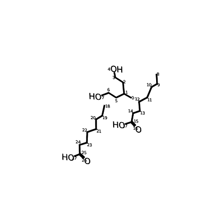 CC(CCO)CCO.CCCCCCCC(=O)O.CCCCCCCC(=O)O